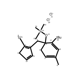 CC1=CCC(CC2=[C]([Ti+2])CC=C2)(O[Si](C)(C)C)C(C(C)(C)C)=C1.[Cl-].[Cl-]